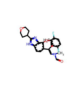 C/C=C\C(=C/N(C)C=O)c1ccc2[nH]c(C3CCOCC3)nc2c1Oc1cc(F)ccc1F